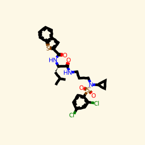 CC(C)C[C@H](NC(=O)c1cc2ccccc2s1)C(=O)NCCCN(C1CC1)S(=O)(=O)c1ccc(Cl)cc1Cl